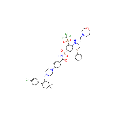 CC1(C)CCC(c2ccc(Cl)cc2)=C(CN2CCN(c3ccc(C(=O)NS(=O)(=O)c4ccc(N[C@H](CCN5CCCOCC5)CSc5ccccc5)c(S(=O)(=O)C(F)(F)Cl)c4)cc3)CC2)C1